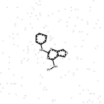 CC(C)Nc1nc(Nc2ccccc2)nc2cscc12